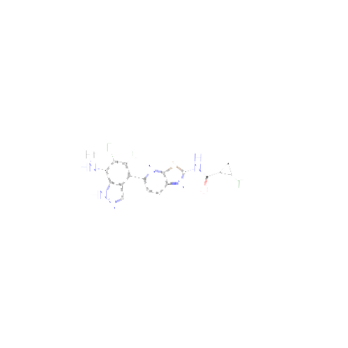 CCNc1c(F)c(Cl)c(-c2ccc3nc(NC(=O)C4CC4F)sc3n2)c2cn[nH]c12